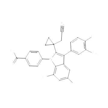 Cc1cc(-c2c(C3(CC#N)CC3)n(-c3ccc(C(=O)O)cc3)c3c(O)cc(F)cc23)ccc1F